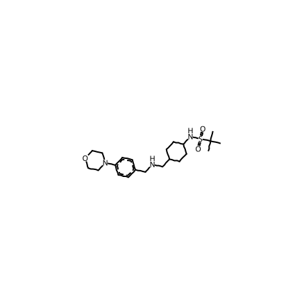 CC(C)(C)S(=O)(=O)NC1CCC(CNCc2ccc(N3CCOCC3)cc2)CC1